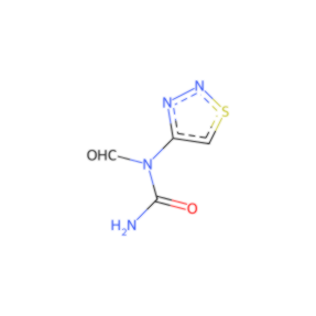 NC(=O)N(C=O)c1csnn1